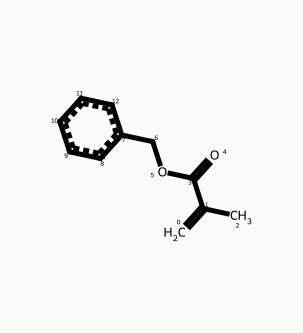 C=C(C)C(=O)OCc1[c]cccc1